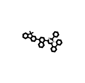 CC1(C)c2ccccc2-c2ccc(-c3ccc(-c4cc(-c5ccccc5-c5ccccc5)nc(-c5ccccc5)n4)c4ccccc34)cc21